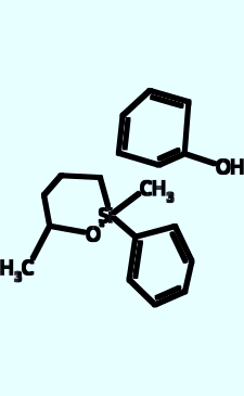 CC1CCC[Si](C)(c2ccccc2)O1.Oc1ccccc1